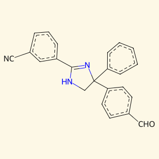 N#Cc1cccc(C2=NC(c3ccccc3)(c3ccc(C=O)cc3)CN2)c1